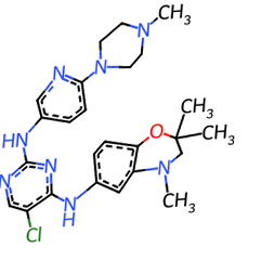 CN1CCN(c2ccc(Nc3ncc(Cl)c(Nc4ccc5c(c4)N(C)CC(C)(C)O5)n3)cn2)CC1